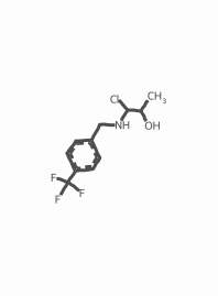 CC(O)C(Cl)NCc1ccc(C(F)(F)F)cc1